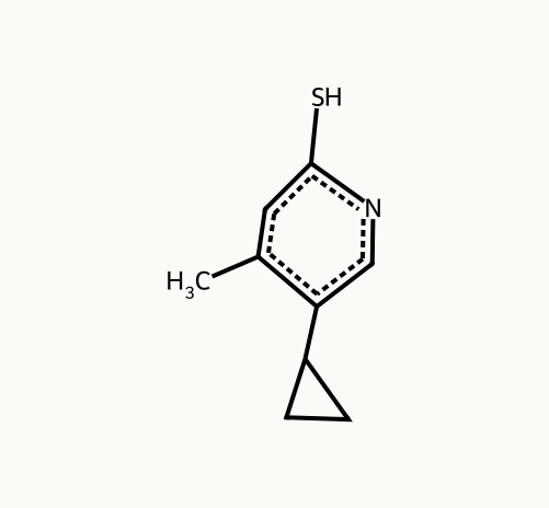 Cc1cc(S)ncc1C1CC1